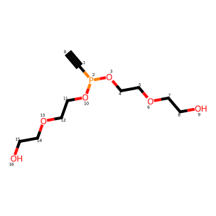 C#CP(OCCOCCO)OCCOCCO